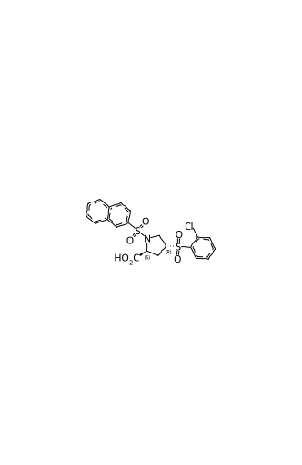 O=C(O)[C@@H]1C[C@@H](S(=O)(=O)c2ccccc2Cl)CN1S(=O)(=O)c1ccc2ccccc2c1